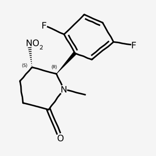 CN1C(=O)CC[C@H]([N+](=O)[O-])[C@H]1c1cc(F)ccc1F